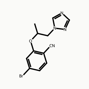 CC(Cn1cncn1)Oc1cc(Br)ccc1C#N